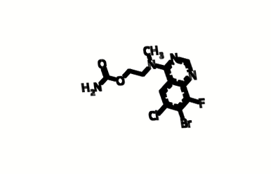 CN(CCOC(N)=O)c1ncnc2c(F)c(Br)c(Cl)cc12